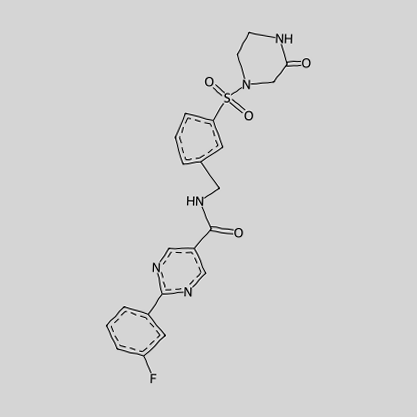 O=C1CN(S(=O)(=O)c2cccc(CNC(=O)c3cnc(-c4cccc(F)c4)nc3)c2)CCN1